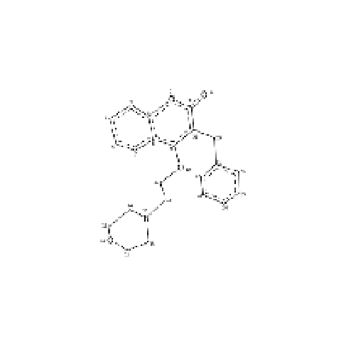 O=c1oc2ccccc2c(OCCN2CCOCC2)c1Cc1ccccc1